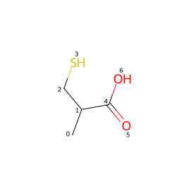 CC(CS)C(=O)O